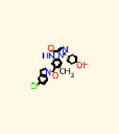 Cc1cc2c(cc1C(=O)N1CCc3cc(Cl)ccc31)[nH]c(=O)c1cnc([C@H]3CC[C@@H](O)CC3)n12